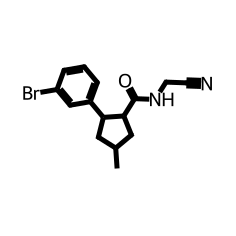 CC1CC(C(=O)NCC#N)C(c2cccc(Br)c2)C1